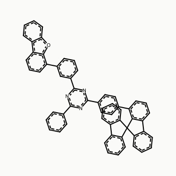 c1ccc(-c2nc(-c3ccc(-c4cccc5c4C4(c6ccccc6-c6ccccc64)c4ccccc4-5)cc3)nc(-c3cccc(-c4cccc5c4oc4ccccc45)c3)n2)cc1